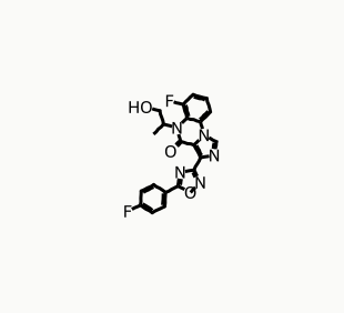 CC(CO)n1c(=O)c2c(-c3noc(-c4ccc(F)cc4)n3)ncn2c2cccc(F)c21